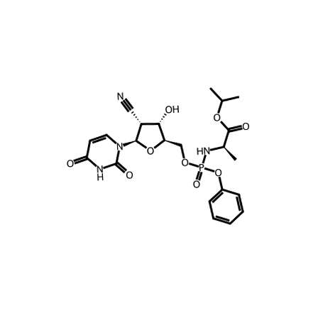 CC(C)OC(=O)[C@@H](C)NP(=O)(OC[C@H]1O[C@@H](n2ccc(=O)[nH]c2=O)[C@H](C#N)[C@@H]1O)Oc1ccccc1